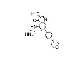 Cn1cnc2cc(-c3ccc(N4CCOCC4)cc3)nc(NC3CCNC3)c2c1=O